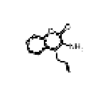 C=CCc1c(N)c(=O)oc2ccccc12